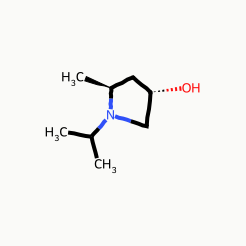 CC(C)N1C[C@@H](O)C[C@@H]1C